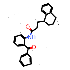 O=C(CCC1CCCc2ccccc21)Nc1ccccc1C(=O)c1ccccc1